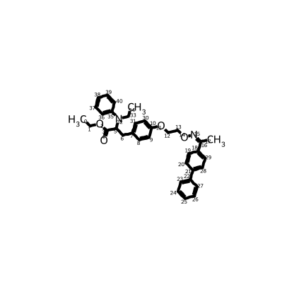 CCOC(=O)C(Cc1ccc(OCCO/N=C(/C)c2ccc(-c3ccccc3)cc2)cc1)N(CC)c1ccccc1